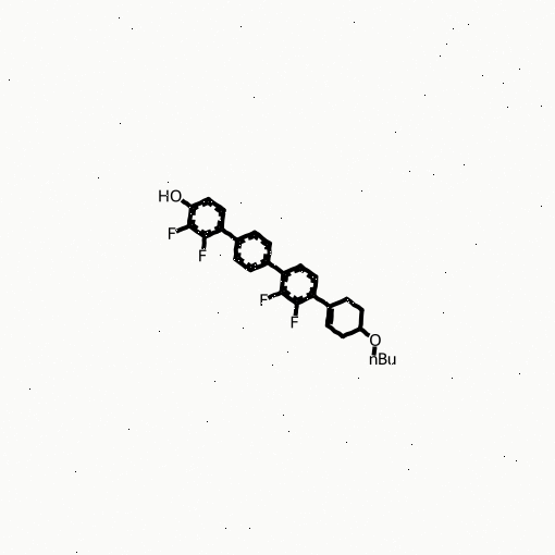 CCCCOC1CC=C(c2ccc(-c3ccc(-c4ccc(O)c(F)c4F)cc3)c(F)c2F)CC1